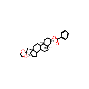 CC1([C@H]2CCC3C4CC[C@H]5C[C@H](OC(=O)c6ccccc6)CC[C@]5(C)C4CC[C@@]32C)OCCO1